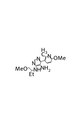 CC[C@H](COC)Nc1ncnc(-c2ccc(OC)nc2C)c1N